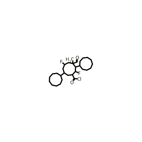 CC1(C=O)CC(F)CC(C2CCCCCCCC2)CC(C(=O)Cl)C(F)C1C1CCCCCCCC1